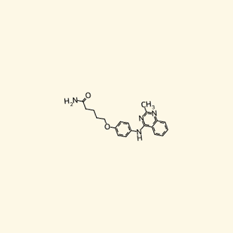 Cc1nc(Nc2ccc(OCCCCC(N)=O)cc2)c2ccccc2n1